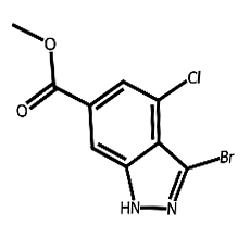 COC(=O)c1cc(Cl)c2c(Br)n[nH]c2c1